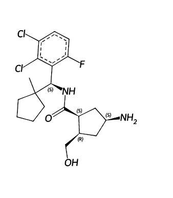 CC1([C@H](NC(=O)[C@H]2C[C@@H](N)C[C@H]2CO)c2c(F)ccc(Cl)c2Cl)CCCC1